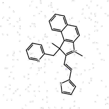 C[N+]1=C(/C=C/c2cccs2)C(C)(Cc2ccccn2)c2c1ccc1ccccc21